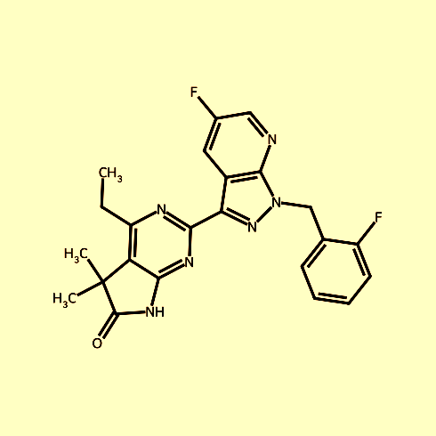 CCc1nc(-c2nn(Cc3ccccc3F)c3ncc(F)cc23)nc2c1C(C)(C)C(=O)N2